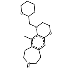 Cc1c2c(cc3c1N(CC1CCCCO1)CCO3)CCNCC2